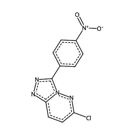 O=[N+]([O-])c1ccc(-c2nnc3ccc(Cl)nn23)cc1